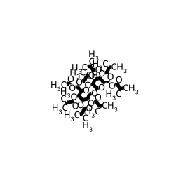 CC(=O)OCC1OC(O[C@@H]2O[C@H](COC(=O)C(C)C)C(OC(=O)C(C)C)C(OC(=O)C(C)C)C2OC(=O)C(C)C)C(OC(=O)C(C)C)C(OC(=O)C(C)C)C1OC(=O)C(C)C